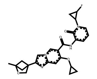 CC12CC(c3cn4cc(C(=O)Nc5cccn(C6CC6F)c5=O)c(OC5CC5)cc4n3)(CO1)C2